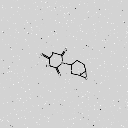 O=c1[nH]c(=O)n(C2CCC3OC3C2)c(=O)[nH]1